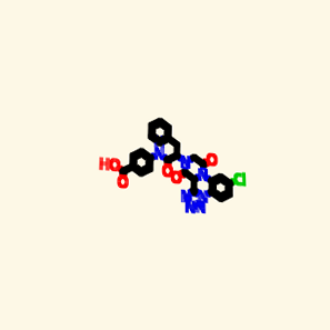 O=C(O)c1ccc(NC(=O)C(Cc2ccccc2)N2CC(=O)N3c4cc(Cl)ccc4-n4nnnc4C3C2=O)cc1